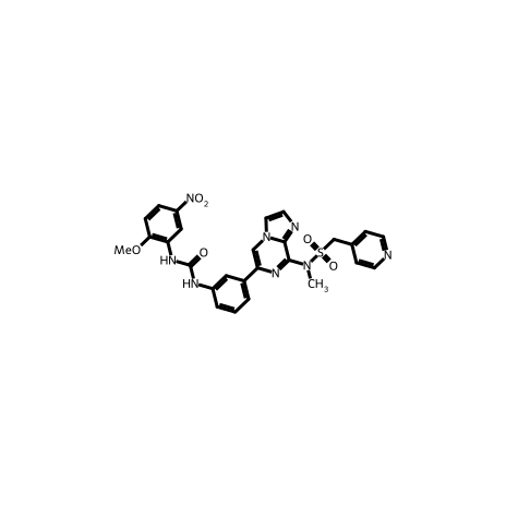 COc1ccc([N+](=O)[O-])cc1NC(=O)Nc1cccc(-c2cn3ccnc3c(N(C)S(=O)(=O)Cc3ccncc3)n2)c1